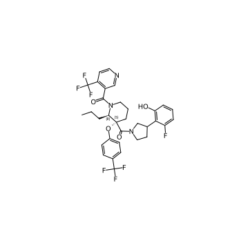 CCC[C@H]1N(C(=O)c2cnccc2C(F)(F)F)CCC[C@@]1(Oc1ccc(C(F)(F)F)cc1)C(=O)N1CCC(c2c(O)cccc2F)C1